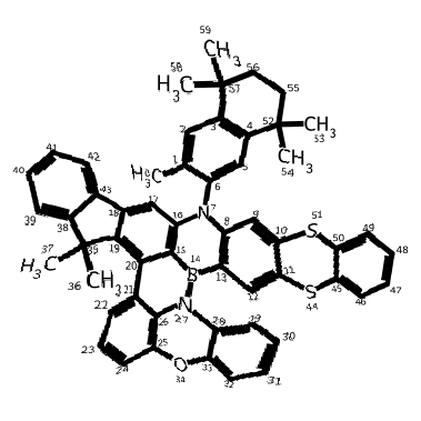 Cc1cc2c(cc1N1c3cc4c(cc3B3c5c1cc1c(c5-c5cccc6c5N3c3ccccc3O6)C(C)(C)c3ccccc3-1)Sc1ccccc1S4)C(C)(C)CCC2(C)C